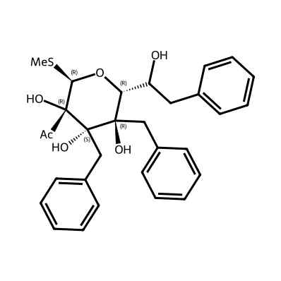 CS[C@H]1O[C@H](C(O)Cc2ccccc2)[C@](O)(Cc2ccccc2)[C@@](O)(Cc2ccccc2)[C@@]1(O)C(C)=O